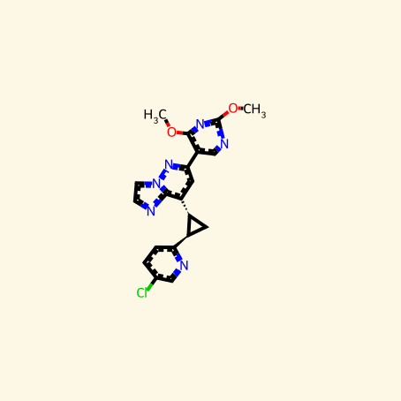 COc1ncc(-c2cc([C@@H]3C[C@H]3c3ccc(Cl)cn3)c3nccn3n2)c(OC)n1